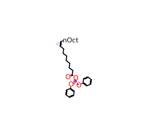 CCCCCCCC/C=C\CCCCCCCC(=O)OP(Oc1ccccc1)Oc1ccccc1